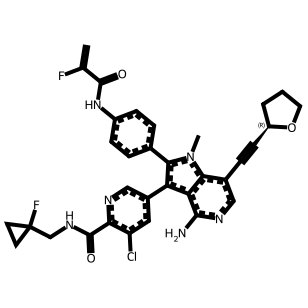 C=C(F)C(=O)Nc1ccc(-c2c(-c3cnc(C(=O)NCC4(F)CC4)c(Cl)c3)c3c(N)ncc(C#C[C@H]4CCCO4)c3n2C)cc1